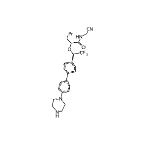 CC(C)CC(OC(c1ccc(-c2ccc(N3CCNCC3)cc2)cc1)C(F)(F)F)C(=O)NCC#N